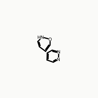 C1=CNOC=C1.c1ccnnc1